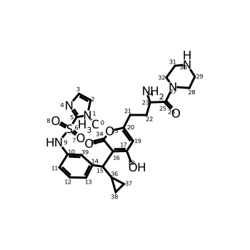 Cn1ccnc1S(=O)(=O)Nc1cccc(C(c2c(O)cc(CCC(N)C(=O)N3CCNCC3)oc2=O)C2CC2)c1